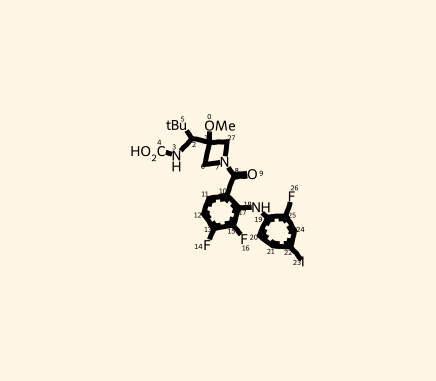 COC1(C(NC(=O)O)C(C)(C)C)CN(C(=O)c2ccc(F)c(F)c2Nc2ccc(I)cc2F)C1